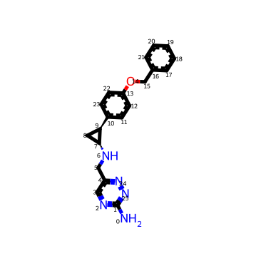 Nc1ncc(CN[C@@H]2C[C@H]2c2ccc(OCc3ccccc3)cc2)nn1